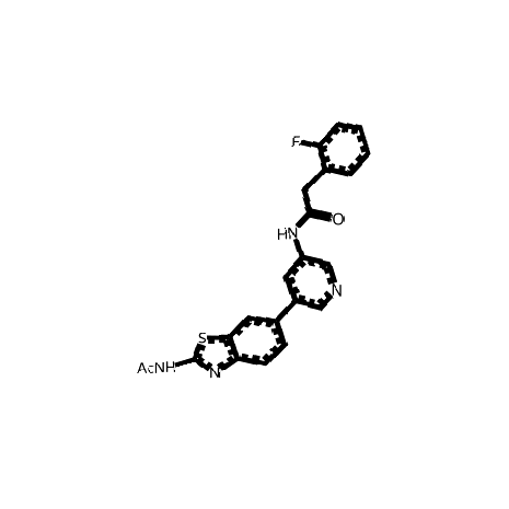 CC(=O)Nc1nc2ccc(-c3cncc(NC(=O)Cc4ccccc4F)c3)cc2s1